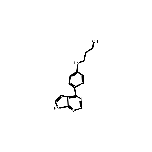 OCCCNc1ccc(-c2ncnc3[nH]ccc23)cc1